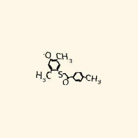 Cc1ccc(C(=O)CSc2cc(C)c([O])cc2C)cc1